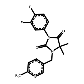 CC1(C)C(=O)N(c2ccc(F)c(F)c2)C(=O)N1Cc1ccc(C(F)(F)F)nc1